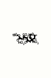 CC(C)(C)OC(=O)NC(CC(CC1([N+](=O)[O-])CCOCC1)C(=O)O)C(=O)O